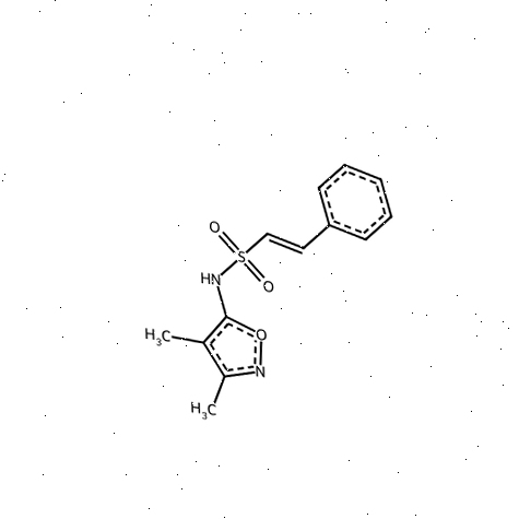 Cc1noc(NS(=O)(=O)C=Cc2ccccc2)c1C